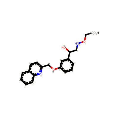 O=C(O)CONCC(O)c1cccc(OCc2ccc3ccccc3n2)c1